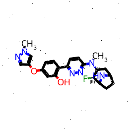 CN(c1ccc(-c2ccc(Oc3cnn(C)c3)cc2O)nn1)[C@H]1CC2CCC(N2)[C@H]1F